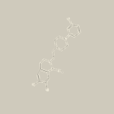 CC1c2cc(Cl)c(Cl)cc2CCN1CCN1CCN(c2cccc(Cl)c2)CC1